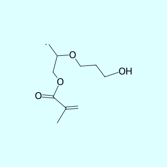 [CH2]C(COC(=O)C(=C)C)OCCCO